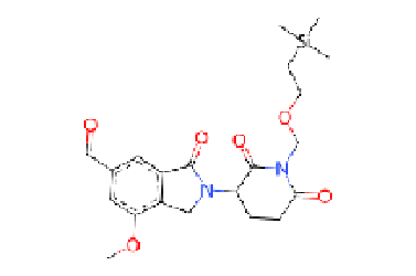 COc1cc(C=O)cc2c1CN(C1CCC(=O)N(COCC[Si](C)(C)C)C1=O)C2=O